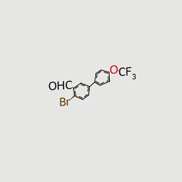 O=Cc1cc(-c2ccc(OC(F)(F)F)cc2)ccc1Br